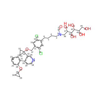 O=CN(CCCCc1cc(Cl)c(COC2(c3cnccc3-c3ccccc3OC3CC3)CC2)cc1Cl)CC(O)C(O)C(O)C(O)CO